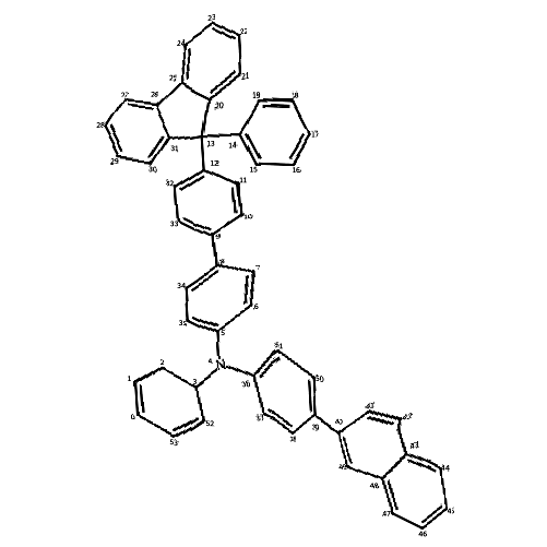 C1=CCC(N(c2ccc(-c3ccc(C4(c5ccccc5)c5ccccc5-c5ccccc54)cc3)cc2)c2ccc(-c3ccc4ccccc4c3)cc2)C=C1